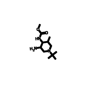 COC(=O)NC1C(C)CN(C(C)(C)C)CC1N